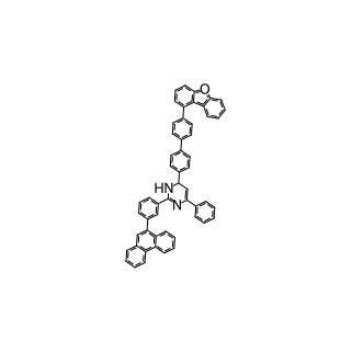 C1=C(c2ccccc2)N=C(c2cccc(-c3cc4ccccc4c4ccccc34)c2)NC1c1ccc(-c2ccc(-c3cccc4oc5ccccc5c34)cc2)cc1